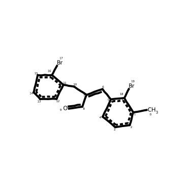 Cc1cccc(/C=C(\C=O)Cc2ccccc2Br)c1Br